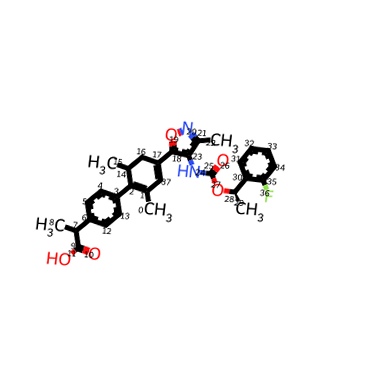 CC1=C(c2ccc(C(C)C(=O)O)cc2)C(C)CC(c2onc(C)c2NC(=O)O[C@H](C)c2ccccc2F)=C1